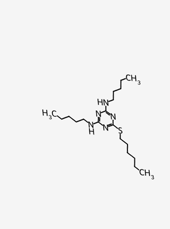 CCCCCCSc1nc(NCCCCC)nc(NCCCCC)n1